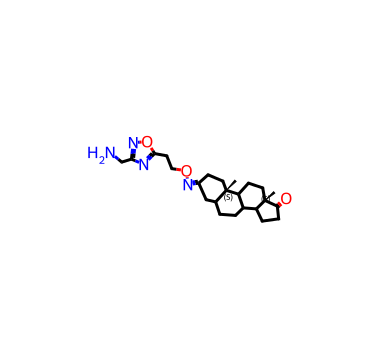 C[C@]12CCC(=NOCCc3nc(CN)no3)CC1CCC1C2CC[C@]2(C)C(=O)CCC12